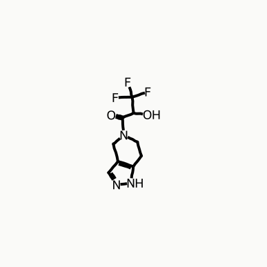 O=C(C(O)C(F)(F)F)N1CCc2[nH]ncc2C1